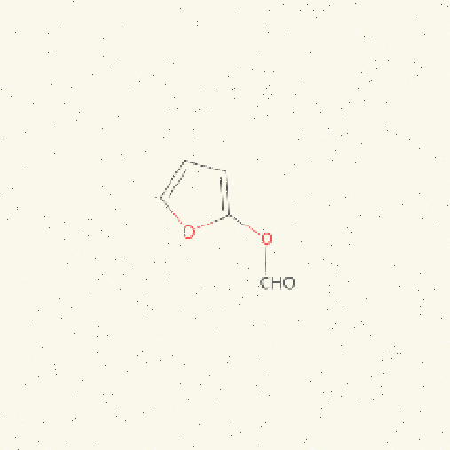 O=COc1cc[c]o1